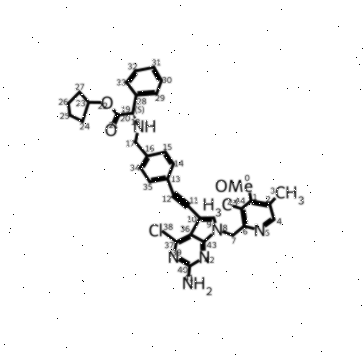 COc1c(C)cnc(Cn2cc(C#Cc3ccc(CN[C@H](C(=O)OC4CCCC4)c4ccccc4)cc3)c3c(Cl)nc(N)nc32)c1C